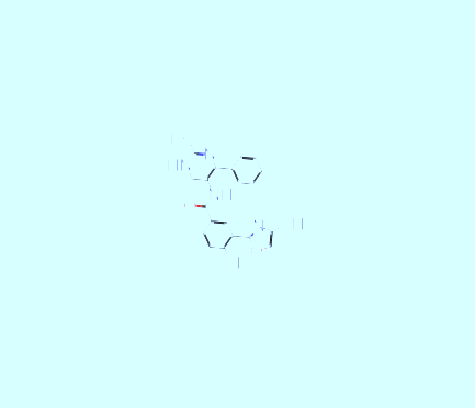 CC1=NC(c2ccccc2)=C(NC(=O)c2ccc(C(F)(F)F)c(-c3nc(C)co3)c2)CN1